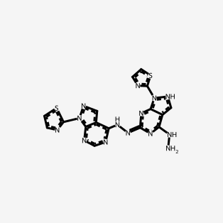 NNc1nc(=NNc2ncnc3c2cnn3-c2nccs2)nc2n(-c3nccs3)[nH]cc1-2